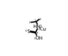 CC(C)NC(O)=S.[Cu]